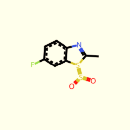 CC1=Nc2ccc(F)cc2S1=S(=O)=O